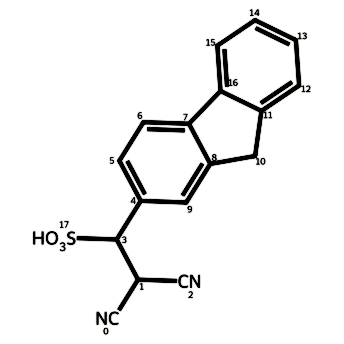 N#CC(C#N)C(c1ccc2c(c1)Cc1ccccc1-2)S(=O)(=O)O